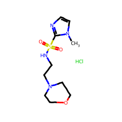 Cl.Cn1ccnc1S(=O)(=O)NCCN1CCOCC1